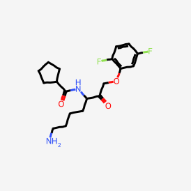 NCCCCC(NC(=O)C1CCCC1)C(=O)COc1cc(F)ccc1F